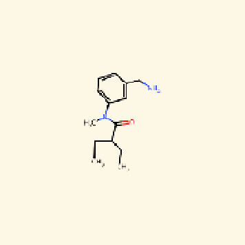 CCC(CC)C(=O)N(C)c1cccc(CN)c1